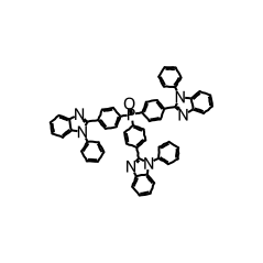 O=P(c1ccc(-c2nc3ccccc3n2-c2ccccc2)cc1)(c1ccc(-c2nc3ccccc3n2-c2ccccc2)cc1)c1ccc(-c2nc3ccccc3n2-c2ccccc2)cc1